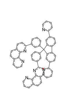 c1ccc(-c2ccc3c(c2)C(c2cccc(-c4ccc5ccc6cccnc6c5n4)c2)(c2cccc(-c4ccc5ccc6cccnc6c5n4)c2)c2cc(-c4ccccn4)ccc2-3)nc1